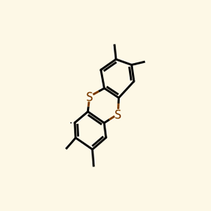 Cc1[c]c2c(cc1C)Sc1cc(C)c(C)cc1S2